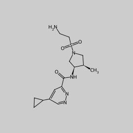 C[C@@H]1CN(S(=O)(=O)CCN)C[C@@H]1NC(=O)c1cc(C2CC2)cnn1